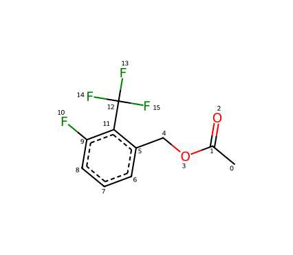 CC(=O)OCc1cccc(F)c1C(F)(F)F